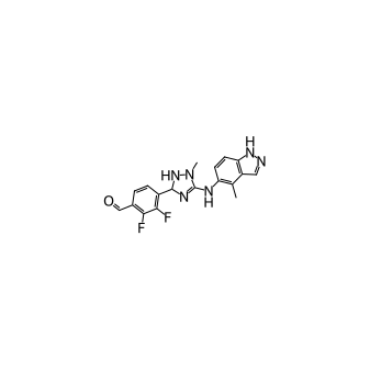 Cc1c(NC2=NC(c3ccc(C=O)c(F)c3F)NN2C)ccc2[nH]ncc12